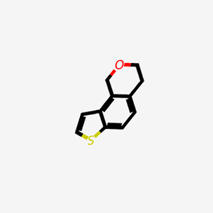 c1cc2c3c(ccc2s1)CCOC3